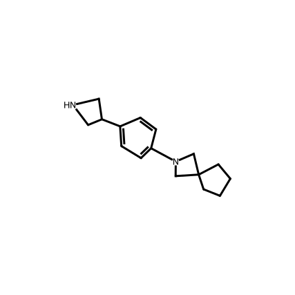 c1cc(N2CC3(CCCC3)C2)ccc1C1CNC1